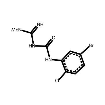 CNC(=N)NC(=O)Nc1cc(Br)ccc1Cl